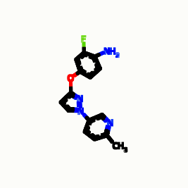 Cc1ccc(-n2ccc(Oc3ccc(N)c(F)c3)n2)cn1